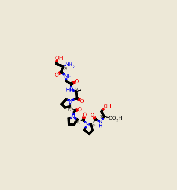 C[C@H](NC(=O)CNC(=O)[C@@H](N)CO)C(=O)N1CCC[C@H]1C(=O)N1CCC[C@H]1C(=O)N1CCC[C@H]1C(=O)N[C@@H](CO)C(=O)O